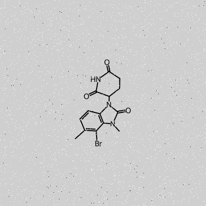 Cc1ccc2c(c1Br)n(C)c(=O)n2C1CCC(=O)NC1=O